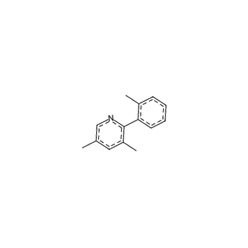 Cc1cnc(-c2ccccc2C)c(C)c1